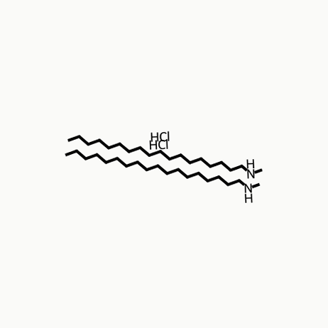 CCCCCCCCCCCCCCCCCCNC.CCCCCCCCCCCCCCCCCCNC.Cl.Cl